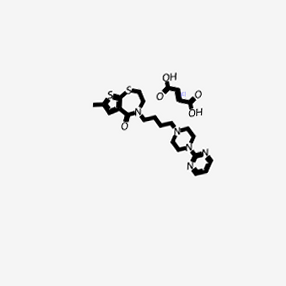 Cc1cc2c(s1)SCCN(CCCCN1CCN(c3ncccn3)CC1)C2=O.O=C(O)/C=C/C(=O)O